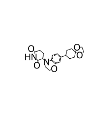 O=C1CCC(N2CCOc3cc(C4CCC5(CC4)OCCO5)ccc32)C(=O)N1